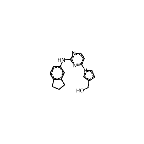 OCc1ccn(-c2ccnc(Nc3ccc4c(c3)CCC4)n2)c1